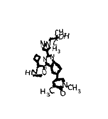 Cc1cc(-c2ccc3nc(-c4cnn(CC(C)(C)O)c4)nc([C@H]4OCCNC4C4CCC4)c3c2)cn(C)c1=O